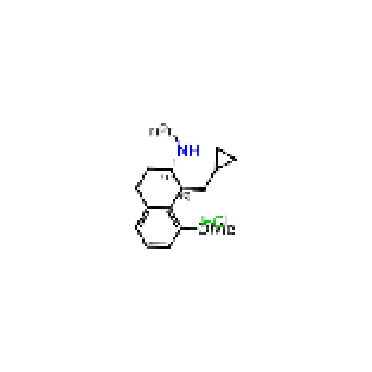 CCCN[C@H]1CCc2cccc(OC)c2[C@@H]1CC1CC1.Cl